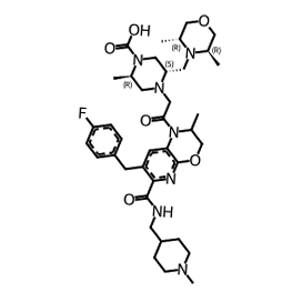 CC1COc2nc(C(=O)NCC3CCN(C)CC3)c(Cc3ccc(F)cc3)cc2N1C(=O)CN1C[C@@H](C)N(C(=O)O)C[C@@H]1CN1[C@H](C)COC[C@H]1C